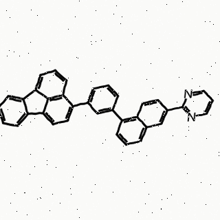 c1cnc(-c2ccc3c(-c4cccc(-c5ccc6c7c(cccc57)-c5ccccc5-6)c4)cccc3c2)nc1